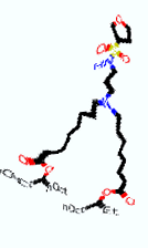 CCCCCCCCC(CC)OC(=O)CCCCCCCN(CCCCCCCC(=O)OC(CCCCCCCC)CCCCCCCC)CCCNS(=O)(=O)C1CCOC1